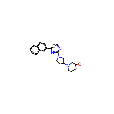 OC1CCCN(C2CCN(c3nccc(-c4ccc5ccccc5c4)n3)C2)C1